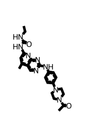 CCNC(=O)Nc1cc(C)c2cnc(Nc3ccc(N4CCN(C(C)=O)CC4)cc3)nc2n1